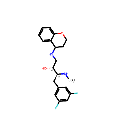 O=C(O)N[C@@H](Cc1cc(F)cc(F)c1)[C@H](O)CNC1CCOc2ccccc21